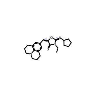 CCN1C(=O)/C(=C\c2cc3c4c(c2)CCCN4CCC3)O/C1=N/C1CCCC1